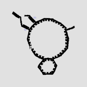 C=C/C=c1/cncc2ccccc2cccc(C)ccc/c1=C/C